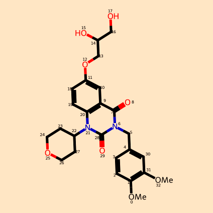 COc1ccc(Cn2c(=O)c3cc(OCC(O)CO)ccc3n(C3CCOCC3)c2=O)cc1OC